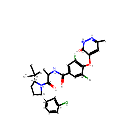 Cc1cc(Oc2c(F)cc(C(=O)NC(C)C(=O)N3[C@H](c4cccc(Cl)c4)CC[C@@H]3C(C)(C)C#N)cc2F)c(=O)[nH]n1